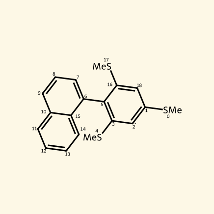 CSc1[c]c(SC)c(-c2cccc3ccccc23)c(SC)c1